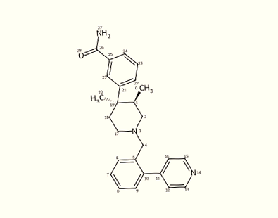 C[C@H]1CN(Cc2ccccc2-c2ccncc2)CC[C@@]1(C)c1cccc(C(N)=O)c1